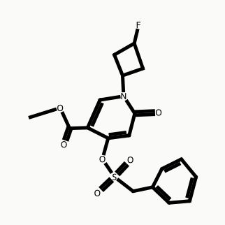 COC(=O)c1cn(C2CC(F)C2)c(=O)cc1OS(=O)(=O)Cc1ccccc1